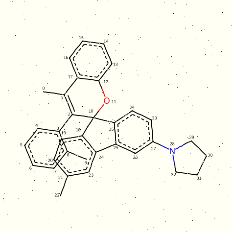 CC1=C(c2ccccc2C)C2(Oc3ccccc31)c1ccc(C)cc1-c1cc(N3CCCC3)ccc12